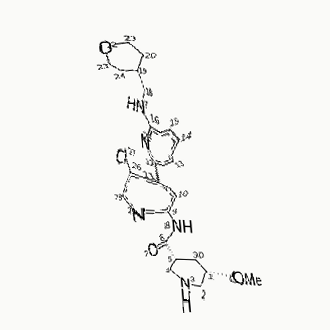 CO[C@@H]1CNC[C@H](C(=O)Nc2cc(-c3cccc(NCC4CCOCC4)n3)c(Cl)cn2)C1